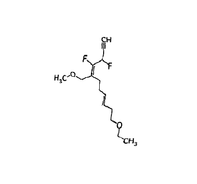 C#CC(F)/C(F)=C(\CCC=CCCOCC)COC